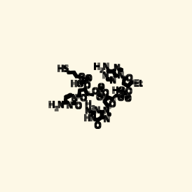 CC[C@H]1O[C@@H](n2cnc3c(N)ncnc32)CC1OP(=O)(O)OC[C@H]1O[C@@H](n2cnc3c(=O)[nH]c(N)nc32)CC1OP(=O)(O)OC[C@H]1O[C@@H](n2ccc(N)nc2=O)CC1OP(=O)(O)OCCCS